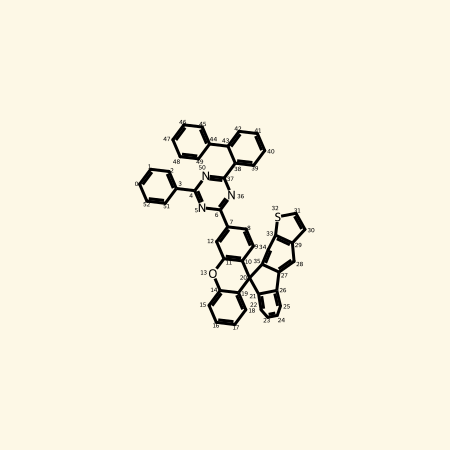 c1ccc(-c2nc(-c3ccc4c(c3)Oc3ccccc3C43c4ccccc4-c4cc5ccsc5cc43)nc(-c3ccccc3-c3ccccc3)n2)cc1